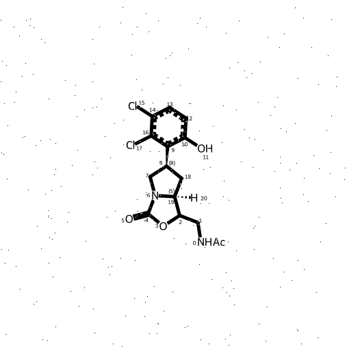 CC(=O)NCC1OC(=O)N2C[C@@H](c3c(O)ccc(Cl)c3Cl)C[C@@H]12